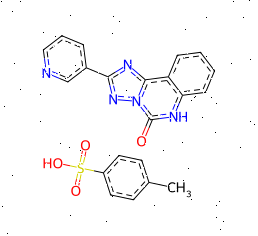 Cc1ccc(S(=O)(=O)O)cc1.O=c1[nH]c2ccccc2c2nc(-c3cccnc3)nn12